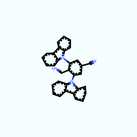 N#Cc1cc(-n2c3ccccc3c3ccccc32)c(C=N)c(-n2c3ccccc3c3ccccc32)c1